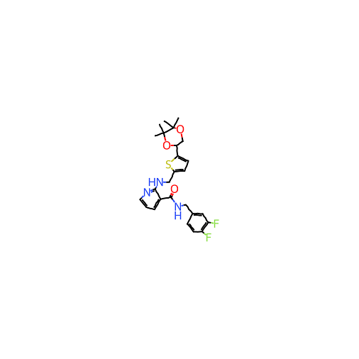 CC1(C)OCC(c2ccc(CNc3ncccc3C(=O)NCc3ccc(F)c(F)c3)s2)OC1(C)C